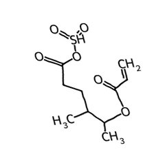 C=CC(=O)OC(C)C(C)CCC(=O)O[SH](=O)=O